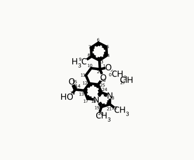 COC1(c2ccccc2C)CCc2c(C(=O)O)cn3c(C)c(C)nc3c2O1.Cl